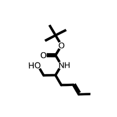 CC=CCC(CO)NC(=O)OC(C)(C)C